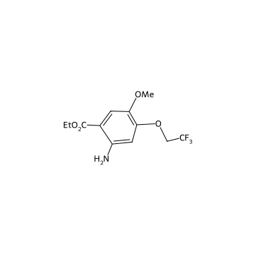 CCOC(=O)c1cc(OC)c(OCC(F)(F)F)cc1N